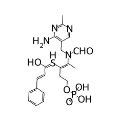 C/C(=C(CCOP(=O)(O)O)/[SH]=C(O)\C=C\c1ccccc1)N(C=O)Cc1cnc(C)nc1N